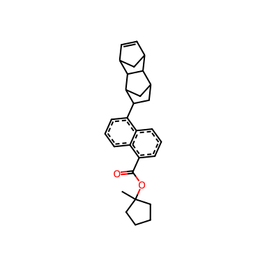 CC1(OC(=O)c2cccc3c(C4CC5CC4C4C6C=CC(C6)C54)cccc23)CCCC1